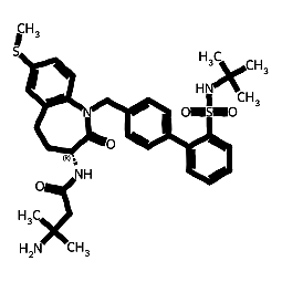 CSc1ccc2c(c1)CC[C@@H](NC(=O)CC(C)(C)N)C(=O)N2Cc1ccc(-c2ccccc2S(=O)(=O)NC(C)(C)C)cc1